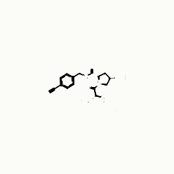 C#Cc1ccc(CNC(=O)[C@@H]2C[C@@H](O)CN2C(=O)[C@@H](NC(=O)O)C(C)(C)C)cc1